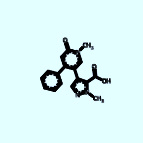 Cn1ncc(-c2cn(C)c(=O)cc2-c2ccccc2)c1C(=O)O